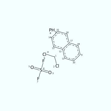 ClCCl.O=S(=O)(F)F.P.c1ccc2ccccc2c1